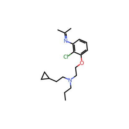 CCCN(CCOc1cccc(N=C(C)C)c1Cl)CCC1CC1